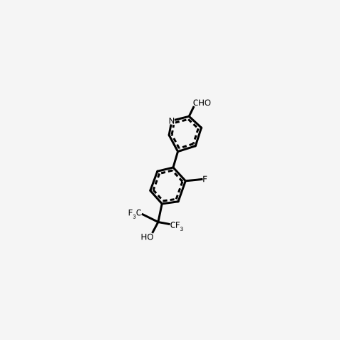 O=Cc1ccc(-c2ccc(C(O)(C(F)(F)F)C(F)(F)F)cc2F)cn1